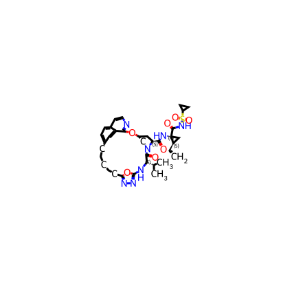 C=C[C@@H]1C[C@]1(NC(=O)[C@@H]1CC2CN1C(=O)[C@H](C(C)C)Nc1nnc(o1)CCCCCc1ccc3ccnc(c3c1)O2)C(=O)NS(=O)(=O)C1CC1